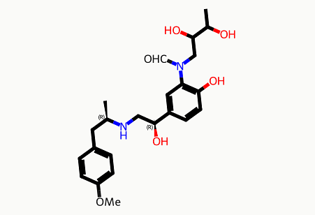 COc1ccc(C[C@@H](C)NC[C@H](O)c2ccc(O)c(N(C=O)CC(O)C(C)O)c2)cc1